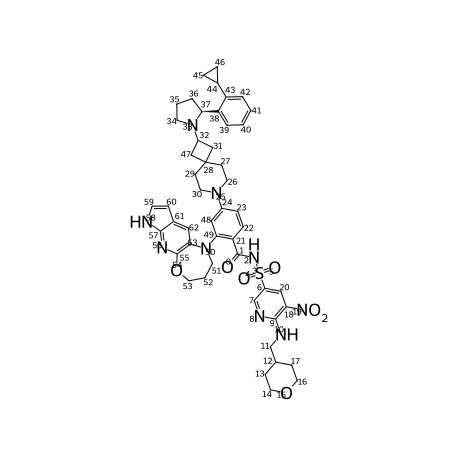 O=C(NS(=O)(=O)c1cnc(NCC2CCOCC2)c([N+](=O)[O-])c1)c1ccc(N2CCC3(CC2)CC(N2CCC[C@H]2c2ccccc2C2CC2)C3)cc1N1CCCOc2nc3[nH]ccc3cc21